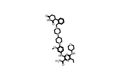 CCc1nc(C(N)=O)c(Nc2ccc(N3CCC(N4CCN(Cc5ccccc5C5CCC(=O)NC5=O)CC4)CC3)c(OC)c2)nc1NC1CCOCC1